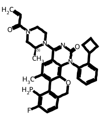 C=CC(=O)N1CCN(c2nc(=O)n(-c3ccccc3C3CCC3)c3c4c(c(C)cc23)-c2c(ccc(F)c2P)CO4)[C@@H](C)C1